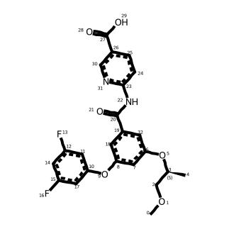 COC[C@H](C)Oc1cc(Oc2cc(F)cc(F)c2)cc(C(=O)Nc2ccc(C(=O)O)cn2)c1